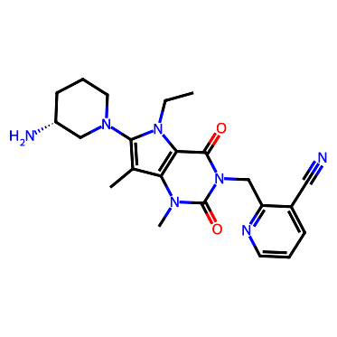 CCn1c(N2CCC[C@@H](N)C2)c(C)c2c1c(=O)n(Cc1ncccc1C#N)c(=O)n2C